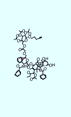 C#CCCCO[C@@H]1OC(COC(=O)COCC(=O)O[C@@H](C(=O)O[C@H]2C[C@@](O)([C@@H](OC(=O)c3ccccc3)[C@H]3C[C@@H](O)C[C@H]4OC[C@@]34OC(C)=O)C(C)(C)C([C@@H](OC(C)=O)C(=O)CC)=C2C)C(NC(=O)c2ccccc2)c2ccccc2)[C@@H](OC(C)=O)C(OC(C)=O)C1OC(C)=O